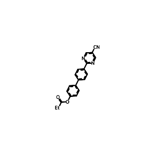 CCC(=O)Oc1ccc(-c2ccc(-c3ncc(C#N)cn3)cc2)cc1